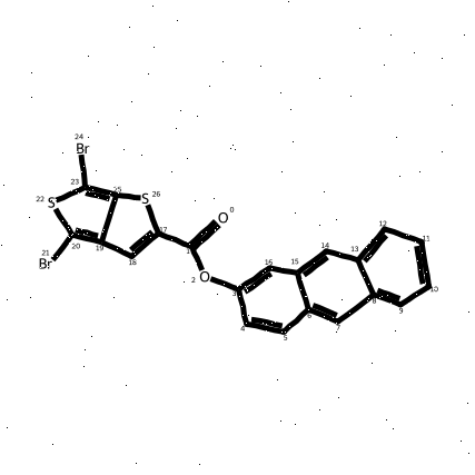 O=C(Oc1ccc2cc3ccccc3cc2c1)c1cc2c(Br)sc(Br)c2s1